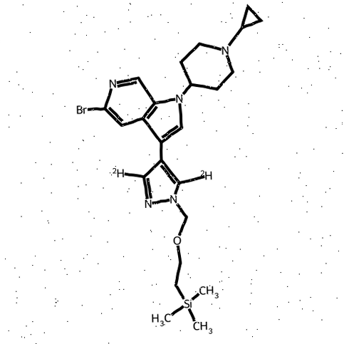 [2H]c1nn(COCC[Si](C)(C)C)c([2H])c1-c1cn(C2CCN(C3CC3)CC2)c2cnc(Br)cc12